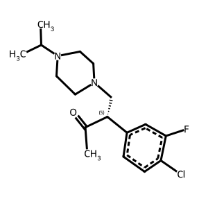 CC(=O)[C@H](CN1CCN(C(C)C)CC1)c1ccc(Cl)c(F)c1